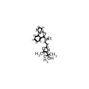 CCN(CCc1nc(C(C)(C)O)c(C)o1)C(=O)c1ccccc1-n1nccn1